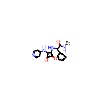 CCNC(=O)C(Nc1c(Nc2ccncc2)c(=O)c1=O)c1ccccc1